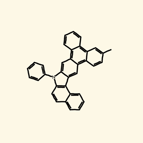 Cc1ccc2c(c1)c1ccccc1c1cc3c(cc21)c1c2ccccc2ccc1n3-c1ccccc1